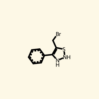 BrCC1=C(c2ccccc2)NNS1